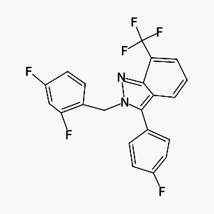 Fc1ccc(-c2c3cccc(C(F)(F)F)c3nn2Cc2ccc(F)cc2F)cc1